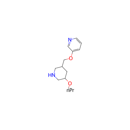 CCCOC1CNCC(COc2cccnc2)C1